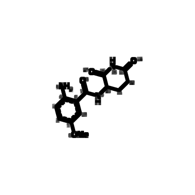 COc1ccc(N)c(C(=O)NC2CCC(=O)NC2=O)c1